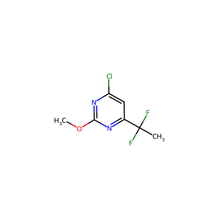 COc1nc(Cl)cc(C(C)(F)F)n1